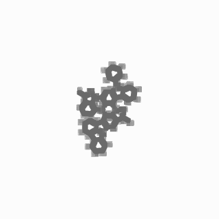 Cc1nn2c3c(cccc13)B1c3c-2cc2c(c3-n3nc(C)c4cc5c(c1c43)c1cccc3c4ccccc4n5c31)c1ccccc1n2-c1ccccc1